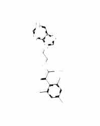 Cc1cc(C)c(C(=O)C(P)OCCn2cnc3cncnc32)c(C)c1